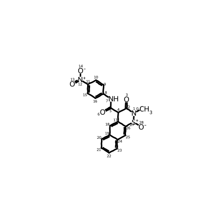 CN1C(=O)C(C(=O)Nc2ccc([N+](=O)[O-])cc2)c2cc3ccccc3cc2[S+]1[O-]